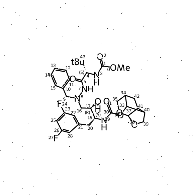 COC(=O)N[C@H](C(=O)NN(Cc1ccccc1)C[C@@H](O)[C@H](Cc1cc(F)cc(F)c1)NC(=O)OC1C2COC3OCC1C3C2)C(C)(C)C